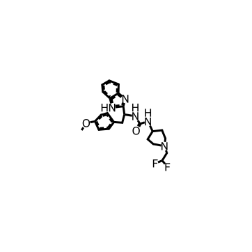 COc1ccc(CC(NC(=O)NC2CCN(CC(F)F)CC2)c2nc3ccccc3[nH]2)cc1